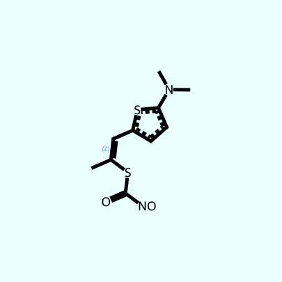 C/C(=C/c1ccc(N(C)C)s1)SC(=O)N=O